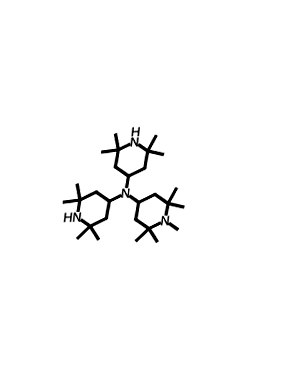 CN1C(C)(C)CC(N(C2CC(C)(C)NC(C)(C)C2)C2CC(C)(C)NC(C)(C)C2)CC1(C)C